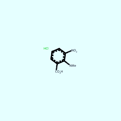 CNc1c(C(=O)O)cccc1[N+](=O)[O-].Cl